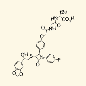 CC(C)(C)[C@@H](NC(=O)CNC(=O)COc1ccc([C@@H]2[C@@H](SCC(O)c3ccc4c(c3)OCO4)C(=O)N2c2ccc(F)cc2)cc1)C(=O)O